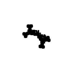 CC1(C)c2cc(-c3cccc(-c4ccc5c(c4)C(C)(C)c4cc(-c6nc(-c7ccc(-n8c9ccccc9c9ccccc98)cc7)nc(-c7ccc(-n8c9ccccc9c9ccccc98)cc7)n6)ccc4-5)c3)ccc2-c2ccc(-c3nc(-c4ccc(-n5c6c(c7ccccc75)CCC=C6)cc4)nc(-c4ccc(-n5c6ccccc6c6ccccc65)cc4)n3)cc21